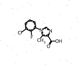 Cc1c(C(=O)O)ncn1-c1cccc(Cl)c1F